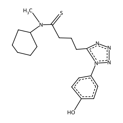 CN(C(=S)CCCc1nnnn1-c1ccc(O)cc1)C1CCCCC1